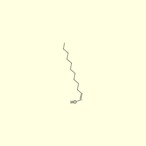 CCCCCCCCCC/C=[C]\O